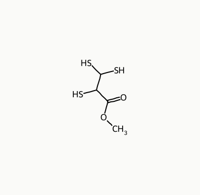 COC(=O)C(S)C(S)S